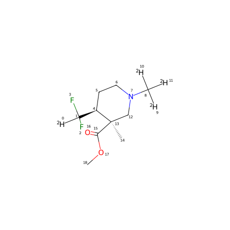 [2H]C(F)(F)[C@H]1CCN(C([2H])([2H])[2H])C[C@@]1(C)C(=O)OC